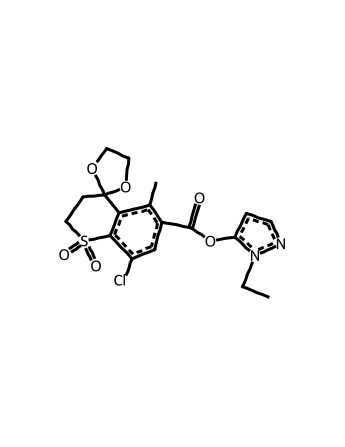 CCn1nccc1OC(=O)c1cc(Cl)c2c(c1C)C1(CCS2(=O)=O)OCCO1